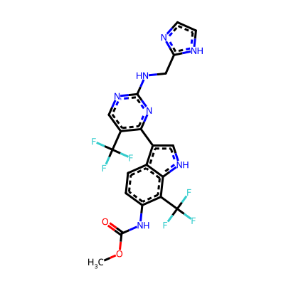 COC(=O)Nc1ccc2c(-c3nc(NCc4ncc[nH]4)ncc3C(F)(F)F)c[nH]c2c1C(F)(F)F